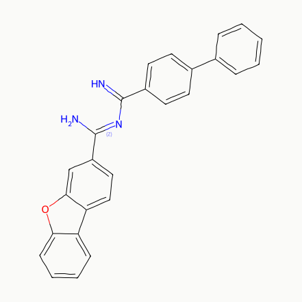 N=C(/N=C(\N)c1ccc2c(c1)oc1ccccc12)c1ccc(-c2ccccc2)cc1